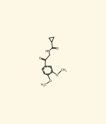 COc1ccc(C(=O)CNC(=O)C2CC2)cc1OC